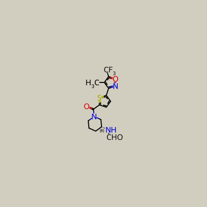 Cc1c(-c2ccc(C(=O)N3CCC[C@@H](NC=O)C3)s2)noc1C(F)(F)F